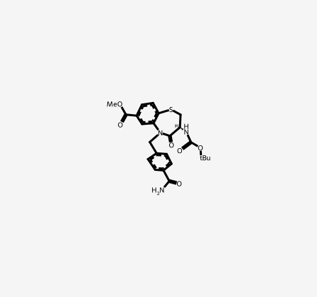 COC(=O)c1ccc2c(c1)N(Cc1ccc(C(N)=O)cc1)C(=O)[C@@H](NC(=O)OC(C)(C)C)CS2